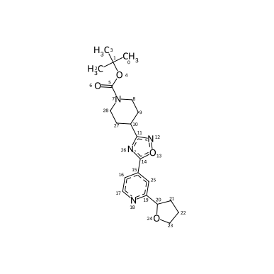 CC(C)(C)OC(=O)N1CCC(c2noc(-c3ccnc(C4CCCO4)c3)n2)CC1